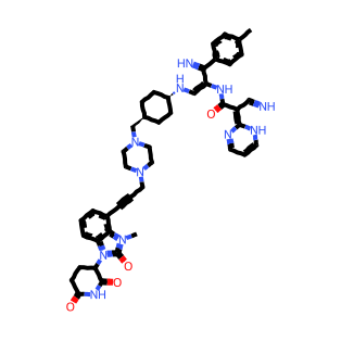 Cc1ccc(C(=N)/C(=C\N[C@H]2CC[C@H](CN3CCN(CC#Cc4cccc5c4n(C)c(=O)n5C4CCC(=O)NC4=O)CC3)CC2)NC(=O)/C(C=N)=C2\N=CC=CN2)cc1